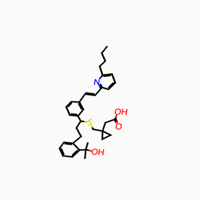 CCCCc1cccc(C=Cc2cccc(C(CCc3ccccc3C(C)(C)O)SCC3(CC(=O)O)CC3)c2)n1